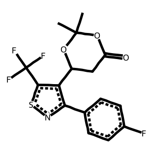 CC1(C)OC(=O)CC(c2c(-c3ccc(F)cc3)nsc2C(F)(F)F)O1